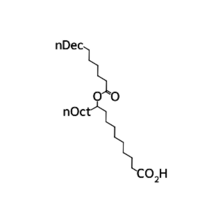 CCCCCCCCCCCCCCCC(=O)OC(CCCCCCCC)CCCCCCCCC(=O)O